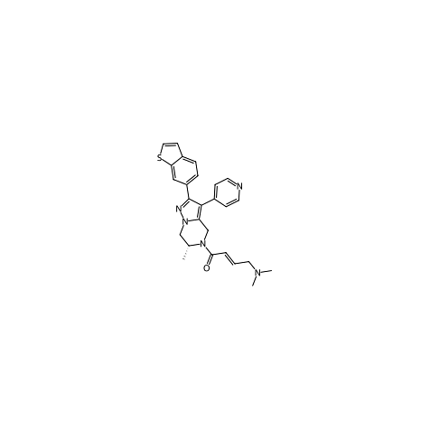 C[C@@H]1Cn2nc(-c3ccc4ccsc4c3)c(-c3ccncc3)c2CN1C(=O)/C=C/CN(C)C